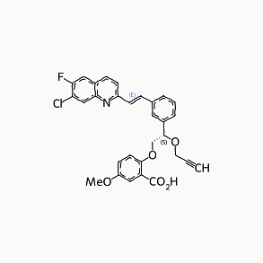 C#CCO[C@H](COc1ccc(OC)cc1C(=O)O)c1cccc(/C=C/c2ccc3cc(F)c(Cl)cc3n2)c1